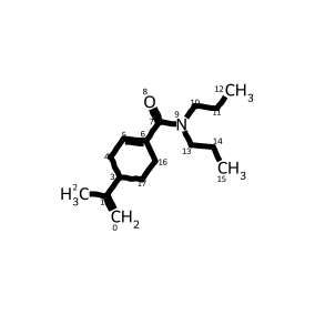 C=C(C)C1CC=C(C(=O)N(CCC)CCC)CC1